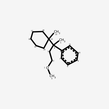 COCCC(C)(c1ccccc1)C1(C)CCCCC1